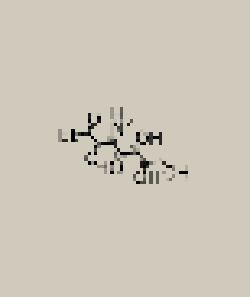 CCC(=O)C(=O)[C@H](N)[C@@H](O)[C@H](O)[C@H](O)CO